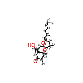 CC(C)=CCC/C(C)=C/[C@H]1CC(C)=C[C@@]2(C=C(CO)[C@@H]3CC(=O)C(C)=C[C@@H]3O2)O1